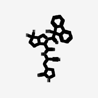 N#CC(CC1CCNC1=O)NC(=O)C1C2CCC(F)(F)C2CN1C(=O)C1(O)c2ccccc2-c2ccccc21